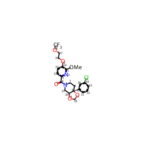 COc1nc(C(=O)N2CC[C@]3(c4cccc(Cl)c4)OCOC3C2)ccc1OCCOC(F)(F)F